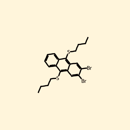 CCCCSc1c2ccccc2c(SCCCC)c2cc(Br)c(Br)cc12